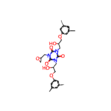 Cc1cc(C)cc(OCC(O)Cn2c(=O)n(CC(O)COc3cc(C)cc(C)c3)c(=O)n(CC3CO3)c2=O)c1